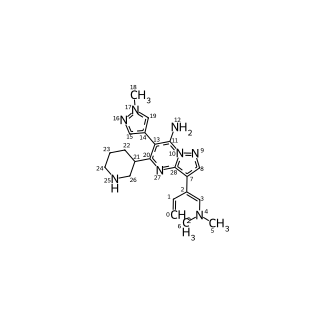 C=C/C(=C\N(C)C)c1cnn2c(N)c(-c3cnn(C)c3)c(C3CCCNC3)nc12